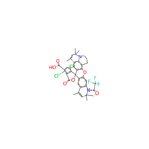 CC1=CC(C)(C)N(C(=O)C(F)(F)F)c2cc3c(cc21)C1(OC(=O)c2c(Cl)c(C(=O)O)cc(Cl)c21)c1cc2c4c(c1O3)CCCN4C(C)(C)C=C2C